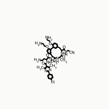 CCc1ccc(-c2nc(C)c(C(=O)NC(CCN)C(=O)N(C)C3C(=O)NC(C)C(=O)NC(C(=O)NCC#N)Cc4ccc(OCCN)c(c4)-c4cc3ccc4OCCN)c(C)n2)cc1